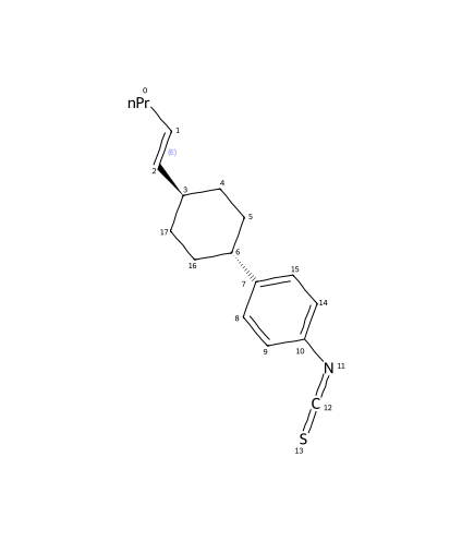 CCC/C=C/[C@H]1CC[C@H](c2ccc(N=C=S)cc2)CC1